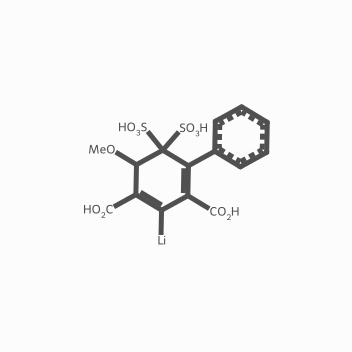 [Li][C]1=C(C(=O)O)C(OC)C(S(=O)(=O)O)(S(=O)(=O)O)C(c2ccccc2)=C1C(=O)O